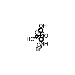 O=C(CBr)Nc1ccc2c(c1)C(=O)OC21c2ccc(O)cc2Oc2cc(O)ccc21